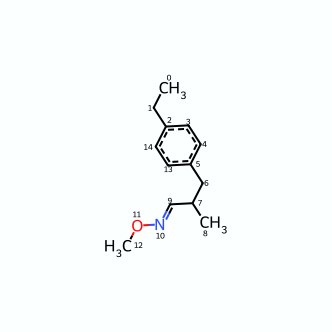 CCc1ccc(CC(C)/C=N/OC)cc1